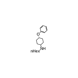 CCCCCCN[C@H]1CC[C@H](Oc2ccccc2)CC1